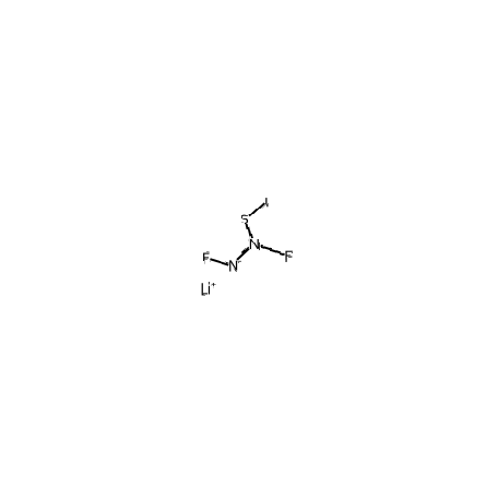 F[N-]N(F)SI.[Li+]